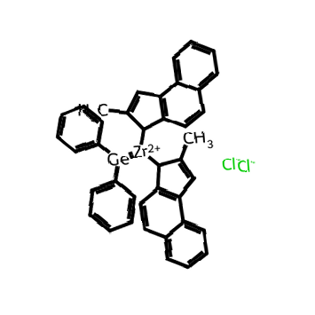 CC1=Cc2c(ccc3ccccc23)[CH]1[Zr+2]([CH]1C(C)=Cc2c1ccc1ccccc21)=[Ge]([c]1ccccc1)[c]1ccccc1.[Cl-].[Cl-]